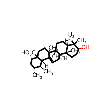 C[C@H]1[C@H](C)CCC2(C(=O)O)CC[C@]3(C)C(=CC[C@@H]4[C@@]5(C)CC[C@H](O)C(C)(C)[C@@H]5CC[C@]43C)[C@H]12